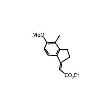 CCOC(=O)C=C1CCc2c1ccc(OC)c2C